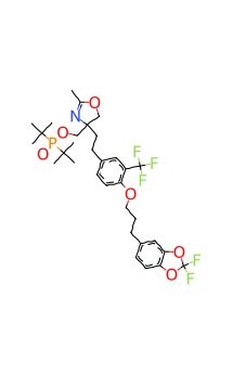 CC1=NC(CCc2ccc(OCCCc3ccc4c(c3)OC(F)(F)O4)c(C(F)(F)F)c2)(COP(=O)(C(C)(C)C)C(C)(C)C)CO1